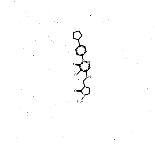 CN1CCC(CNc2cnn(-c3ccc(C4CCCC4)cc3)c(=O)c2Cl)C1=O